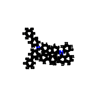 C1=CC2c3ccc(N(c4ccccc4)c4cccc5ccccc45)cc3C(c3ccccc3)(c3ccccc3)C2C=C1N(c1ccc(-c2ccccc2)cc1)c1ccc(-c2ccccc2)cc1